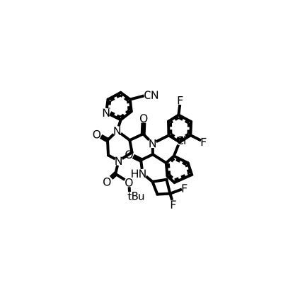 CC(C)(C)OC(=O)N1CC(=O)N(c2cc(C#N)ccn2)C(C(=O)N(c2cc(F)cc(F)c2)C(C(=O)NC2CC(F)(F)C2)c2ccccc2Cl)C1